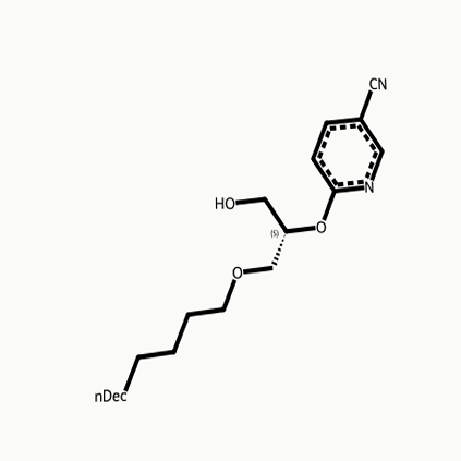 CCCCCCCCCCCCCCOC[C@H](CO)Oc1ccc(C#N)cn1